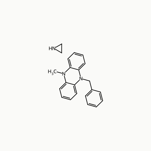 C1CN1.CN1c2ccccc2N(Cc2ccccc2)c2ccccc21